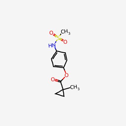 CC1(C(=O)Oc2ccc(NS(C)(=O)=O)cc2)CC1